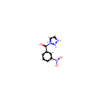 O=C(c1cccc([N+](=O)[O-])c1)n1c[c]nn1